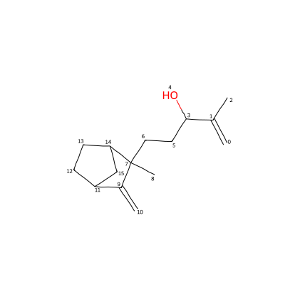 C=C(C)C(O)CCC1(C)C(=C)C2CCC1C2